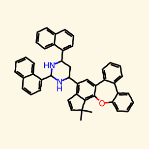 CC1(C)C=Cc2c(C3CC(c4cccc5ccccc45)NC(c4cccc5ccccc45)N3)cc3c(c21)Oc1ccccc1-c1ccccc1-3